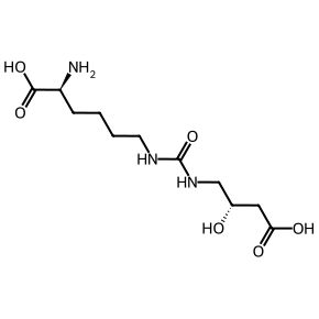 N[C@@H](CCCCNC(=O)NC[C@@H](O)CC(=O)O)C(=O)O